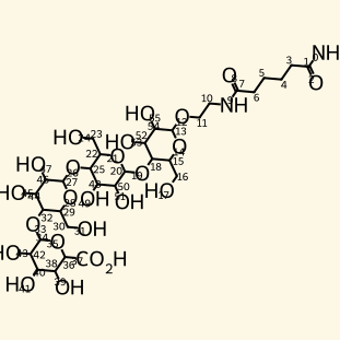 NC(=O)CCCCC(=O)NCCOC1OC(CO)C(OC2OC(CO)C(OC3OC(CO)C(OC4OC(C(=O)O)C(O)C(O)C4O)C(O)C3O)C(O)C2O)C(O)C1O